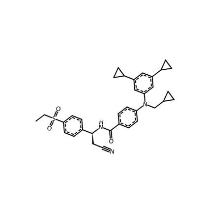 CCS(=O)(=O)c1ccc([C@H](CC#N)NC(=O)c2ccc(N(CC3CC3)c3cc(C4CC4)cc(C4CC4)c3)cc2)cc1